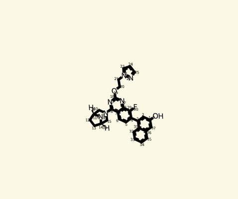 Oc1cc(-c2ccc3c(N4C[C@H]5CC[C@@H](C4)N5)nc(OCCn4cccn4)nc3c2F)c2ccccc2c1